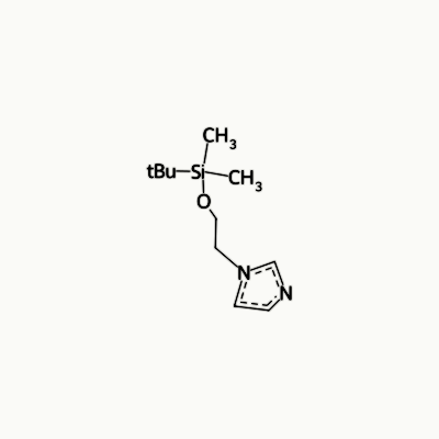 CC(C)(C)[Si](C)(C)OCCn1ccnc1